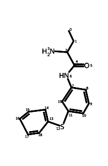 CCC(N)C(=O)Nc1cccc(Sc2ccccc2)c1